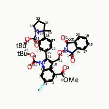 COC(=O)c1cc(F)cc2c1c(CON1C(=O)c3ccccc3C1=O)c(-c1ccc(C3(C)CCCN3C(=O)OC(C)(C)C)cc1)n2C(=O)OC(C)(C)C